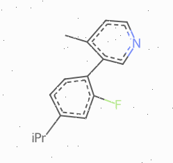 Cc1ccncc1-c1ccc(C(C)C)cc1F